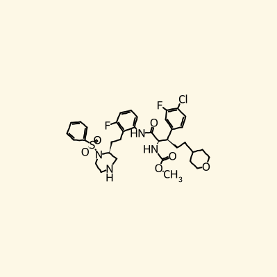 COC(=O)N[C@H](C(=O)Nc1cccc(F)c1CC[C@H]1CNCCN1S(=O)(=O)c1ccccc1)[C@H](CCC1CCOCC1)c1ccc(Cl)c(F)c1